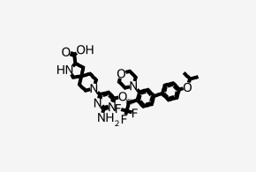 CC(C)Oc1ccc(-c2ccc([C@@H](Oc3cc(N4CCC5(CC4)CNC(C(=O)O)C5)nc(N)n3)C(F)(F)F)c(N3CCOCC3)c2)cc1